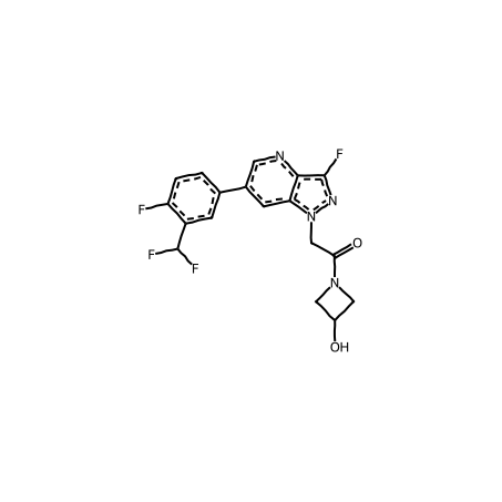 O=C(Cn1nc(F)c2ncc(-c3ccc(F)c(C(F)F)c3)cc21)N1CC(O)C1